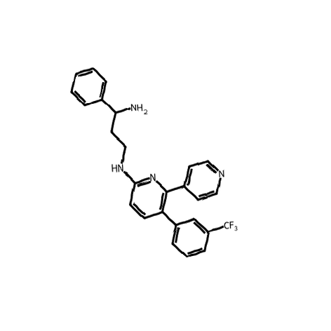 NC(CCNc1ccc(-c2cccc(C(F)(F)F)c2)c(-c2ccncc2)n1)c1ccccc1